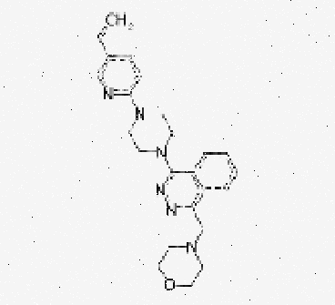 C=Cc1ccc(N2CCN(c3nnc(CN4CCOCC4)c4ccccc34)CC2)nc1